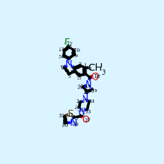 Cc1cc2c(ccn2-c2ccc(F)cc2)cc1C(=O)N1CC(N2CCN(C(=O)c3nccs3)CC2)C1